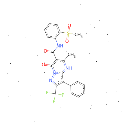 Cc1[nH]c2c(-c3ccccc3)c(C(F)(F)F)nn2c(=O)c1C(=O)Nc1ccccc1S(C)(=O)=O